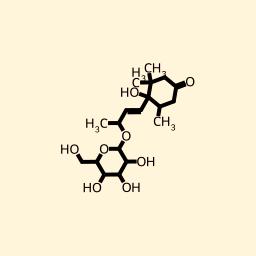 CC(C=CC1(O)C(C)CC(=O)CC1(C)C)OC1OC(CO)C(O)C(O)C1O